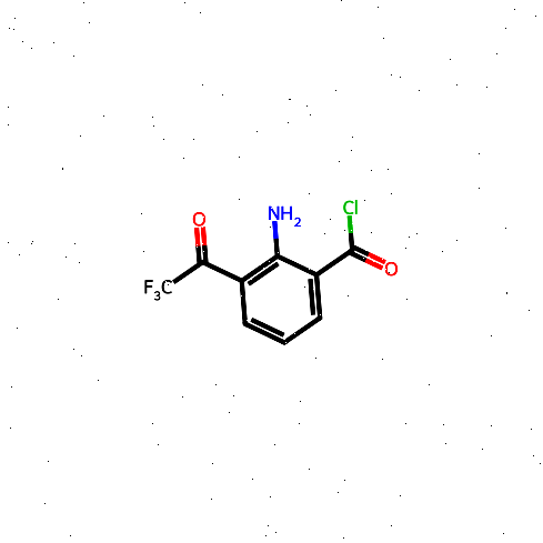 Nc1c(C(=O)Cl)cccc1C(=O)C(F)(F)F